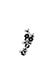 O=C(NCc1ccc(OC(F)F)cc1)[C@H]1CN(c2nn3c(=O)ccnc3s2)CCN1S(=O)(=O)c1ccc(C(F)(F)F)cc1